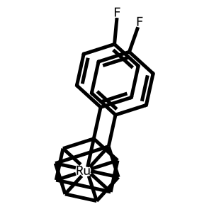 Fc1ccc([C]23[CH]4[CH]5[CH]6[CH]2[Ru]56432789[CH]3[CH]2[CH]7[C]8(c2ccc(F)cc2)[CH]39)cc1